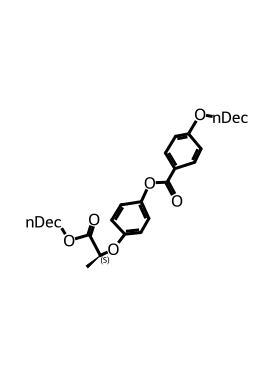 CCCCCCCCCCOC(=O)[C@H](C)Oc1ccc(OC(=O)c2ccc(OCCCCCCCCCC)cc2)cc1